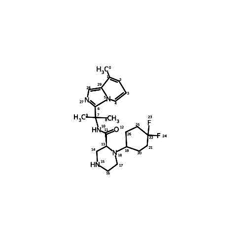 Cc1cccn2c(C(C)(C)NC(=O)[C@@H]3CNCCN3C3CCC(F)(F)CC3)ncc12